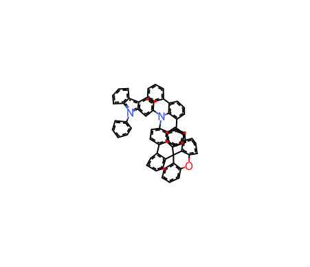 c1ccc(-c2cccc(-c3ccccc3)c2N(c2ccc3c4ccccc4n(-c4ccccc4)c3c2)c2ccc3c4c(cccc24)C2(c4ccccc4Oc4ccccc42)c2ccccc2-3)cc1